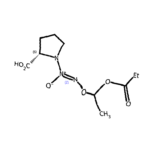 CCC(=O)OC(C)O/N=[N+](\[O-])N1CCC[C@H]1C(=O)O